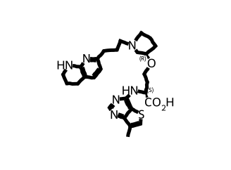 Cc1csc2c(N[C@@H](CCO[C@@H]3CCCN(CCCc4ccc5c(n4)NCCC5)C3)C(=O)O)ncnc12